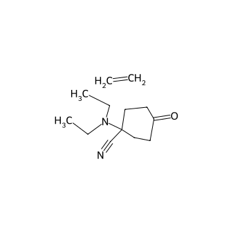 C=C.CCN(CC)C1(C#N)CCC(=O)CC1